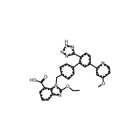 CCOc1nc2cccc(C(=O)O)c2n1Cc1ccc(-c2cc(-c3cc(OC)ccn3)ccc2-c2nn[nH]n2)cc1